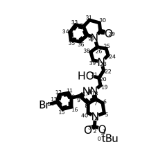 CC(C)(C)OC(=O)N1CCc2c(c(-c3ccc(Br)cc3)nn2CC(O)CN2CCC(N3C(=O)CCc4ccccc43)CC2)C1